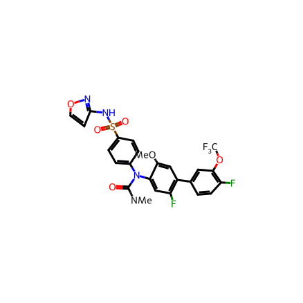 CNC(=O)N(c1ccc(S(=O)(=O)Nc2ccon2)cc1)c1cc(F)c(-c2ccc(F)c(OC(F)(F)F)c2)cc1OC